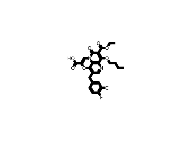 CCCCOc1c(C(=O)OCC)c(=O)n2c3c(c(Cc4ccc(F)c(Cl)c4)cnc13)OC(C(=O)O)=C2